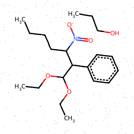 CCCCC(C(c1ccccc1)C(OCC)OCC)[N+](=O)[O-].CCCO